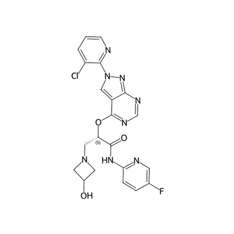 O=C(Nc1ccc(F)cn1)[C@H](CN1CC(O)C1)Oc1ncnc2nn(-c3ncccc3Cl)cc12